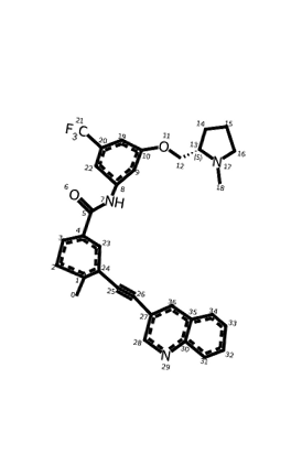 Cc1ccc(C(=O)Nc2cc(OC[C@@H]3CCCN3C)cc(C(F)(F)F)c2)cc1C#Cc1cnc2ccccc2c1